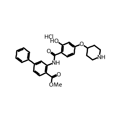 COC(=O)c1ccc(-c2ccccc2)cc1NC(=O)c1ccc(OC2CCNCC2)cc1O.Cl